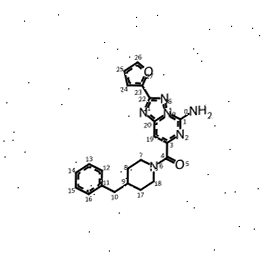 Nc1nc(C(=O)N2CCC(Cc3ccccc3)CC2)cc2nc(-c3ccco3)nn12